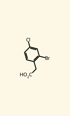 O=C(O)Cc1ccc(Cl)cc1Br